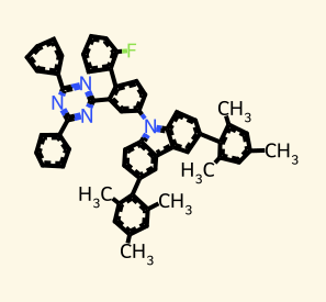 Cc1cc(C)c(-c2ccc3c(c2)c2cc(-c4c(C)cc(C)cc4C)ccc2n3-c2ccc(-c3ccccc3F)c(-c3nc(-c4ccccc4)nc(-c4ccccc4)n3)c2)c(C)c1